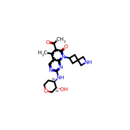 CC(=O)c1c(C)c2cnc(N[C@@H]3CCOC[C@H]3O)nc2n(C2CC3(CNC3)C2)c1=O